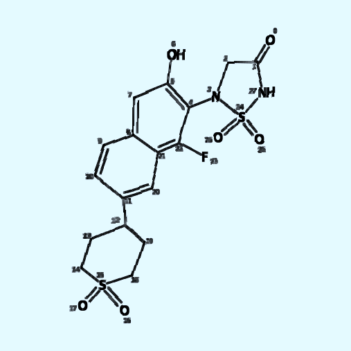 O=C1CN(c2c(O)cc3ccc(C4CCS(=O)(=O)CC4)cc3c2F)S(=O)(=O)N1